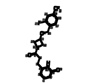 O=C(CCc1cccc(=O)[nH]1)N1CC(OCc2ccc(C(F)(F)F)cc2F)C1